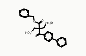 CCOC(=O)CC(CC(=O)OCC)(C(=O)OCc1ccccc1)C(=O)c1ccc(-c2ccccc2)cc1